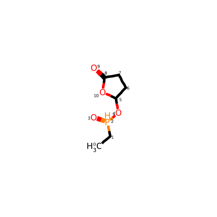 CC[PH](=O)OC1CCC(=O)O1